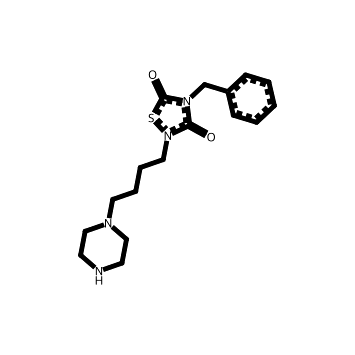 O=c1sn(CCCCN2CCNCC2)c(=O)n1Cc1ccccc1